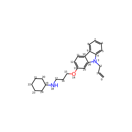 C=CCn1c2ccccc2c2ccc(OCCCNC3CCCCC3)cc21